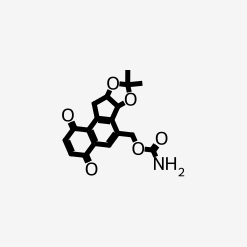 CC1(C)OC2Cc3c4c(cc(COC(N)=O)c3C2O1)C(=O)C=CC4=O